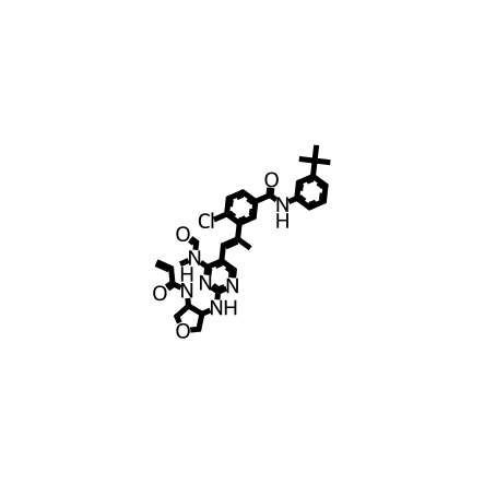 C=CC(=O)NC1COCC1Nc1ncc(/C=C(\C)c2cc(C(=O)Nc3cccc(C(C)(C)C)c3)ccc2Cl)c(N(C)C=O)n1